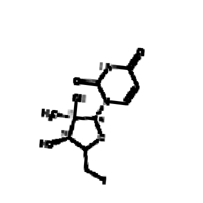 C[C@@]1(O)[C@H](O)C(CI)O[C@H]1n1ccc(=O)[nH]c1=O